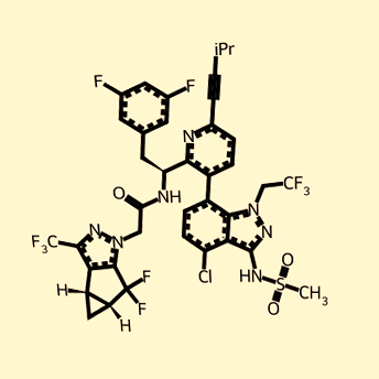 CC(C)C#Cc1ccc(-c2ccc(Cl)c3c(NS(C)(=O)=O)nn(CC(F)(F)F)c23)c([C@H](Cc2cc(F)cc(F)c2)NC(=O)Cn2nc(C(F)(F)F)c3c2C(F)(F)[C@@H]2C[C@H]32)n1